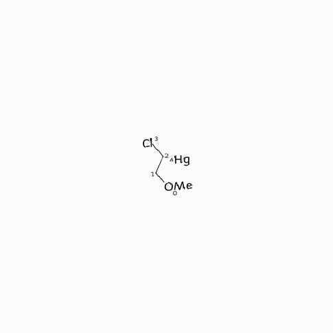 COCCCl.[Hg]